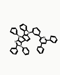 c1ccc(-c2cc(-c3ccccc3)nc(-c3cccc(-n4c5ccccc5c5c4ccc4c6c(nc(-c7ccccc7)n6-c6ccccc6)n(-c6ccccc6)c45)c3)c2)cc1